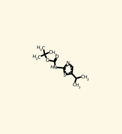 CC(C)c1cnc(NC(=O)OC(C)(C)C)s1